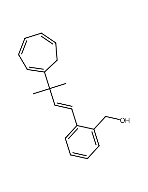 CC(C)(C=Cc1ccccc1CO)C1=CC=CC=CC1